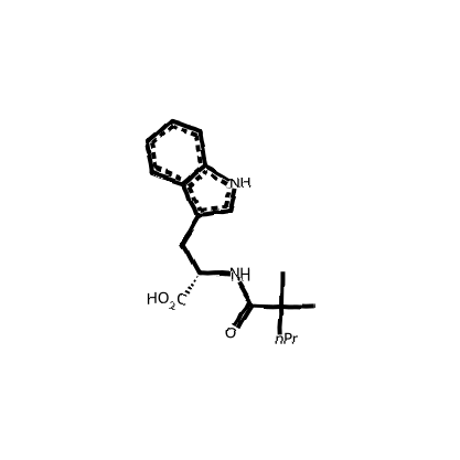 CCCC(C)(C)C(=O)N[C@@H](Cc1c[nH]c2ccccc12)C(=O)O